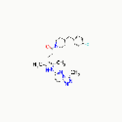 Cc1nn(-c2ccc3nnc(C)n3n2)c(C)c1CCC(=O)N1CCC(Cc2ccc(F)cc2)CC1